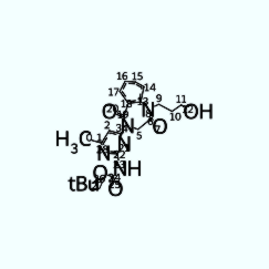 Cc1cc(N2CC(=O)N(CCCO)c3ccccc3C2=O)nc(NC(=O)OC(C)(C)C)n1